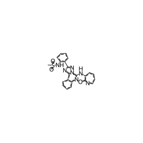 CS(=O)(=O)Nc1ccccc1-c1nc2c3ccccc3nc(Nc3ccccnc3=O)n2n1